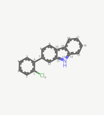 Clc1ccccc1-c1ccc2c(c1)[nH]c1ccccc12